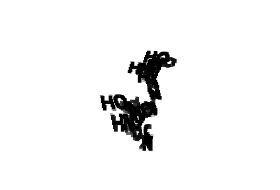 Cc1ncsc1-c1ccc([C@H](C)NC(=O)[C@@H]2C[C@@H](O)CN2C(=O)C(c2cc(CCCN3CCC(N4CCN5c6cc(-c7ccccc7O)nnc6NC[C@H]5C4)CC3)no2)C(C)C)cc1